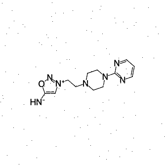 [NH-]c1c[n+](CCN2CCN(c3ncccn3)CC2)no1